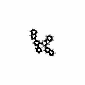 c1ccc2cc(-c3cc(-c4nc(-c5ccc6ccccc6c5)c5oc6ccccc6c5n4)c4c(c3)sc3ccccc34)ccc2c1